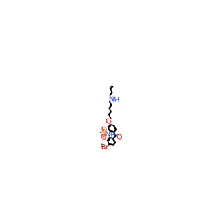 C=CCCNCCCCCCOc1ccc(C(=O)c2ccc(Br)cc2)c(NS(C)(=O)=O)c1